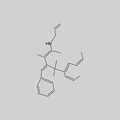 C=CCN/C(C)=C(C)/C(=C/c1ccccc1)C(C)(C)C(/C=C\C)=C/C=C\C